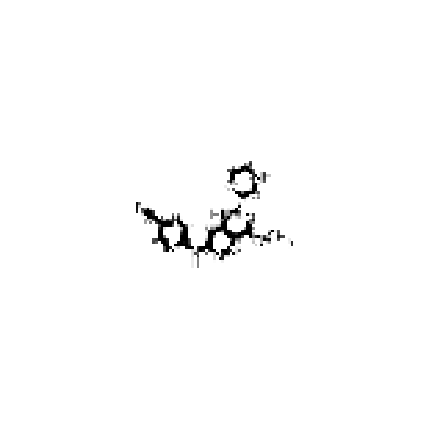 COC(=O)c1nnc(Nc2cnc(C#N)cn2)cc1NC[C@H]1CNCCO1